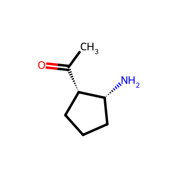 CC(=O)[C@H]1CCC[C@H]1N